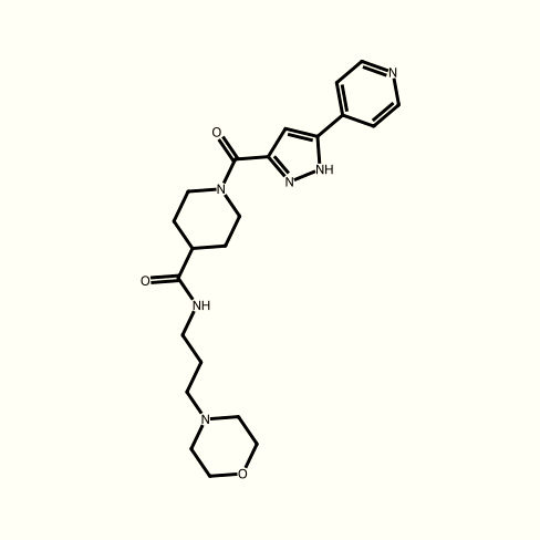 O=C(NCCCN1CCOCC1)C1CCN(C(=O)c2cc(-c3ccncc3)[nH]n2)CC1